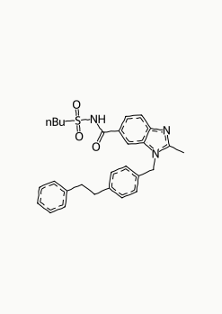 CCCCS(=O)(=O)NC(=O)c1ccc2nc(C)n(Cc3ccc(CCc4ccccc4)cc3)c2c1